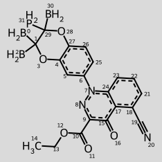 BC1(B)Oc2cc(-n3nc(C(=O)OCC)c(=O)c4c(C#N)cccc43)ccc2OC1(B)P